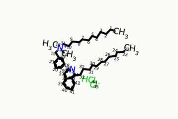 CCCCCCCCCCCC[N+](C)(C)Cc1ccccc1.CCCCCCCCCCCCc1nccc2ccccc12.Cl.[Cl-]